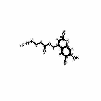 [N-]=[N+]=NCCC(=O)OCc1cc(=O)oc2cc(O)c(Br)cc12